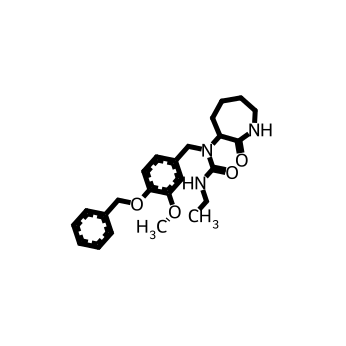 CCNC(=O)N(Cc1ccc(OCc2ccccc2)c(OC)c1)C1CCCCNC1=O